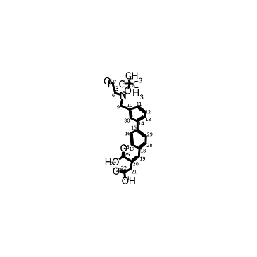 CC(C)(C)ON(CC=O)Cc1cccc(-c2ccc(C=C(CC(=O)O)C(=O)O)cc2)c1